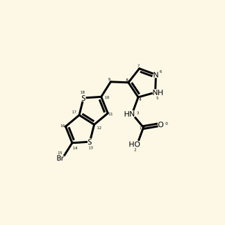 O=C(O)Nc1[nH]ncc1Cc1cc2sc(Br)cc2s1